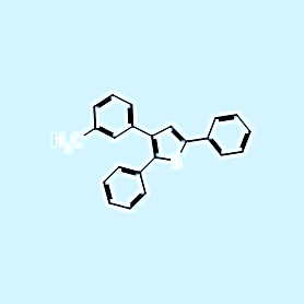 Cc1cccc(-c2cc(-c3ccccc3)sc2-c2ccccc2)c1